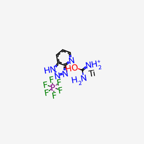 F[P-](F)(F)(F)(F)F.NC(=[NH2+])O.[Ti].c1cnc2nn[nH]c2c1